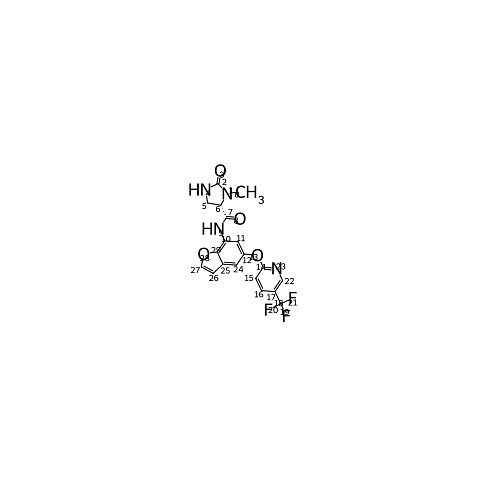 CN1C(=O)NC[C@H]1C(=O)Nc1cc(Oc2ccc(C(F)(F)F)cn2)cc2ccoc12